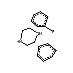 C1CNCCN1.Fc1ccccc1.c1ccccc1